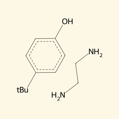 CC(C)(C)c1ccc(O)cc1.NCCN